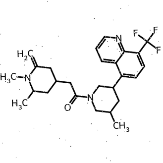 C=C1CC(CC(=O)N2CC(C)CC(c3ccc(C(F)(F)F)c4ncccc34)C2)CC(C)N1C